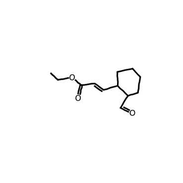 CCOC(=O)/C=C/C1CCCCC1C=O